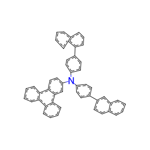 c1ccc2cc(-c3ccc(N(c4ccc(-c5cccc6ccccc56)cc4)c4ccc5c6ccccc6c6ccccc6c5c4)cc3)ccc2c1